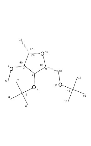 CO[C@H]1C(OC(C)(C)C)[C@@H](COC(C)(C)C)O[C@H]1C